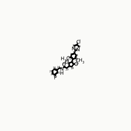 Cc1cc(-c2ncc(Cl)cn2)cc(C)c1C1C(=O)CC(CC(=O)NCc2cccc(F)c2)C1=O